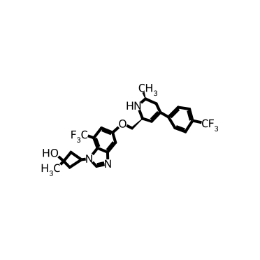 C[C@H]1CC(c2ccc(C(F)(F)F)cc2)=C[C@@H](COc2cc(C(F)(F)F)c3c(c2)ncn3C2CC(C)(O)C2)N1